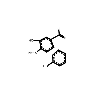 O=C(Cl)c1ccc([S-])c(O)c1.Oc1ccccc1.[Na+]